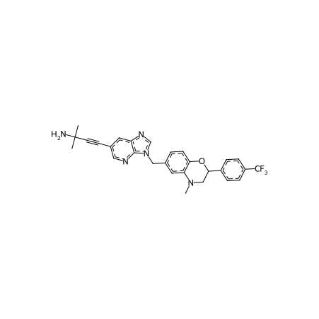 CN1CC(c2ccc(C(F)(F)F)cc2)Oc2ccc(Cn3cnc4cc(C#CC(C)(C)N)cnc43)cc21